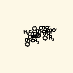 CC(C)([CH2][Sn+3])c1ccccc1.Cc1c(C(=O)[O-])oc2ccccc12.Cc1c(C(=O)[O-])oc2ccccc12.Cc1c(C(=O)[O-])oc2ccccc12